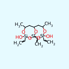 C=C[Si]1(O)OC(C)CC2CC(C)O[Si](O)(C=C)O[Si](C=C)(O2)O1